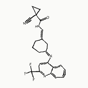 N#CC1(C(=O)N/C=C2\CCC/C(=N\c3cc(C(F)(F)F)nc4ccccc34)C2)CC1